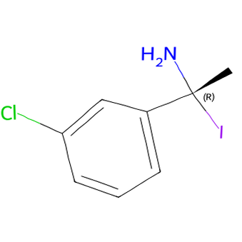 C[C@@](N)(I)c1cccc(Cl)c1